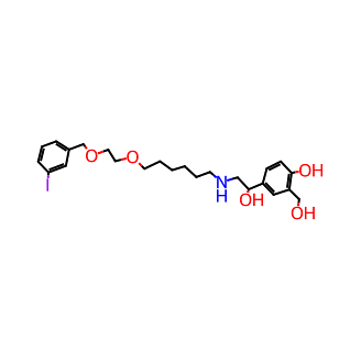 OCc1cc([C@@H](O)CNCCCCCCOCCOCc2cccc(I)c2)ccc1O